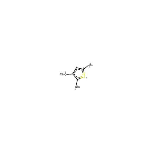 CC(C)(C)c1cc(C=O)c(C(C)(C)C)s1